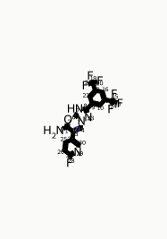 NC(=O)/C(=C\N1CNC(c2cc(C(F)(F)F)cc(C(F)(F)F)c2)=N1)c1ccc(F)nc1